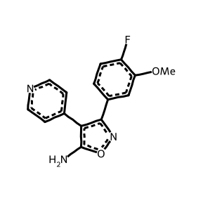 COc1cc(-c2noc(N)c2-c2ccncc2)ccc1F